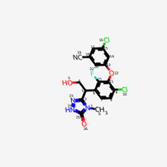 Cn1c(C(CO)c2ccc(Cl)c(Oc3cc(Cl)cc(C#N)c3)c2F)n[nH]c1=O